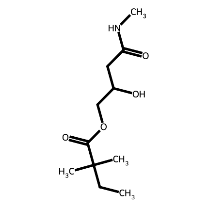 CCC(C)(C)C(=O)OCC(O)CC(=O)NC